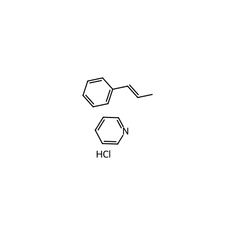 CC=Cc1ccccc1.Cl.c1ccncc1